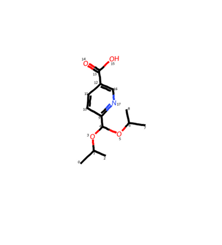 CC(C)OC(OC(C)C)c1ccc(C(=O)O)cn1